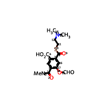 CNC(=O)c1cc(C(=O)O)c(C(=O)SCCN(C)C)cc1OC=O